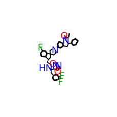 C=CC(=O)N1c2ccc(N3CCC4(CC3)C[C@@H](CC(=O)N[C@H](Cc3ccc(F)c(F)c3)c3nnco3)c3ccc(F)cc34)cc2CC1c1ccccc1